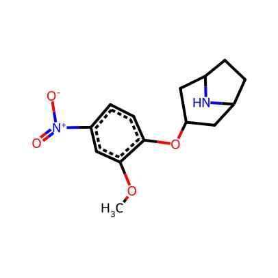 COc1cc([N+](=O)[O-])ccc1OC1CC2CCC(C1)N2